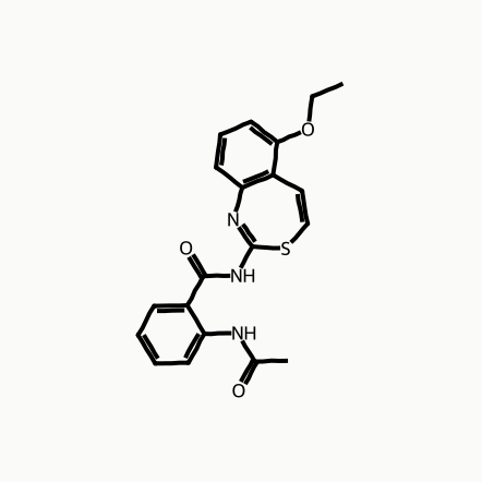 CCOc1cccc2c1C=CSC(NC(=O)c1ccccc1NC(C)=O)=N2